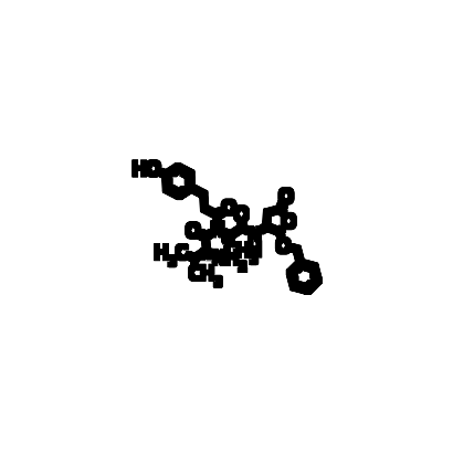 CC(C)[C@H](N)C(=O)N(C(=O)CCc1ccc(O)cc1)[C@@H](C)C(=O)NC1CC(=O)OC1OCc1ccccc1